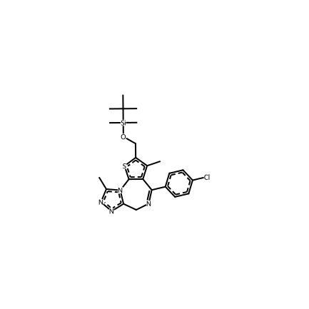 Cc1c(CO[Si](C)(C)C(C)(C)C)sc2c1C(c1ccc(Cl)cc1)=NCc1nnc(C)n1-2